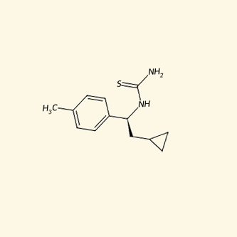 Cc1ccc([C@H](CC2CC2)NC(N)=S)cc1